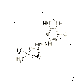 CC(C)(C)OC(=O)NNc1nc(Cl)c2c(n1)NCN2